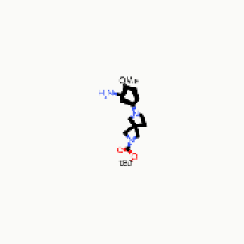 COc1ccc(N2CCC3(CN(C(=O)OC(C)(C)C)C3)C2)cc1N